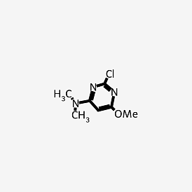 COc1cc(N(C)C)nc(Cl)n1